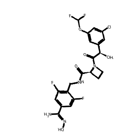 N/C(=N\O)c1cc(F)c(CNC(=O)[C@@H]2CCN2C(=O)[C@H](O)c2cc(Cl)cc(OC(F)F)c2)c(F)c1